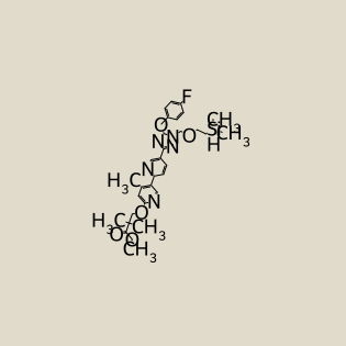 COC(=O)C(C)(C)COc1cc(C)c(-c2ccc(-c3nc(Oc4ccc(F)cc4)n(COCC[SiH](C)C)n3)cn2)cn1